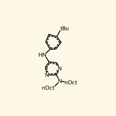 CCCCCCCCN(CCCCCCCC)c1ncc(Nc2ccc(C(C)(C)C)cc2)cn1